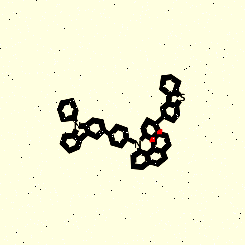 c1ccc(-n2c3ccccc3c3cc(-c4ccc(N(c5ccc(-c6ccc7sc8ccccc8c7c6)cc5)c5cccc6ccc7ccccc7c56)cc4)ccc32)cc1